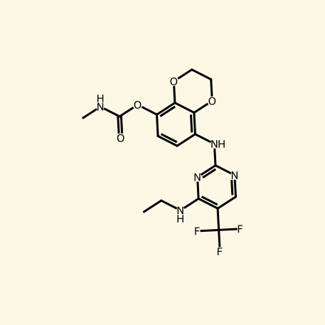 CCNc1nc(Nc2ccc(OC(=O)NC)c3c2OCCO3)ncc1C(F)(F)F